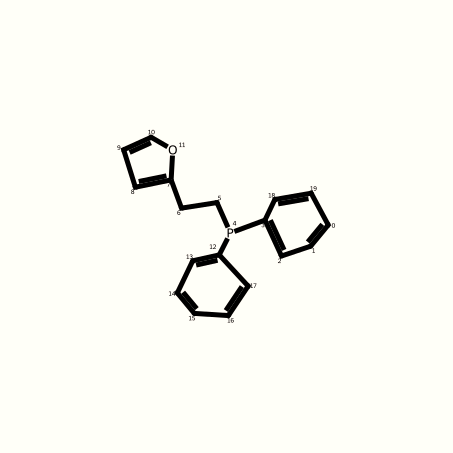 c1ccc(P(CCc2ccco2)c2ccccc2)cc1